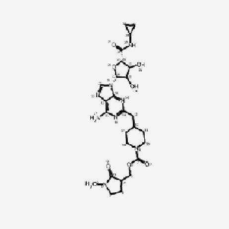 CN1CCC(COC(=O)N2CCC(Cc3nc(N)c4ncn([C@@H]5O[C@H](C(=O)NC6CC6)C(O)C5O)c4n3)CC2)C1=O